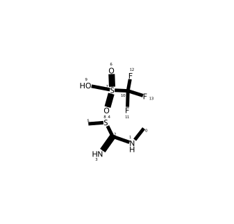 CNC(=N)SC.O=S(=O)(O)C(F)(F)F